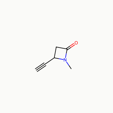 C#CC1CC(=O)N1C